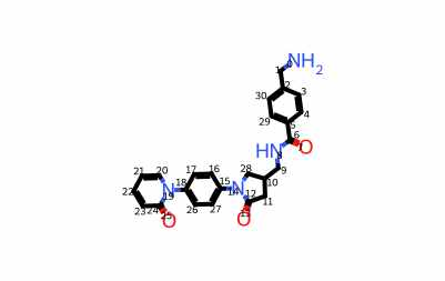 NCc1ccc(C(=O)NCC2CC(=O)N(c3ccc(-n4ccccc4=O)cc3)C2)cc1